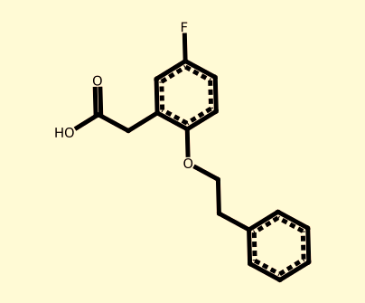 O=C(O)Cc1cc(F)ccc1OCCc1ccccc1